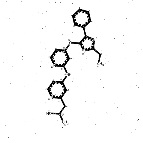 CCc1nc(-c2ccccc2)c(Oc2ccnc(Nc3ccnc(CC(C)O)c3)c2)s1